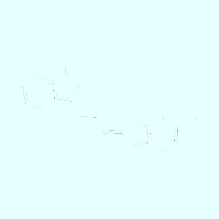 Clc1ccc2sc(=NCCc3c[nH]c4ccccc34)sc2c1